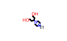 CCN1CCN(C(CCO)CCO)CC1